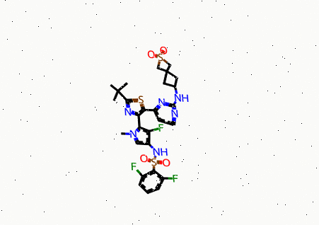 Cn1cc(NS(=O)(=O)c2c(F)cccc2F)c(F)c1-c1nc(C(C)(C)C)sc1-c1ccnc(NC2CC3(C2)CS(=O)(=O)C3)n1